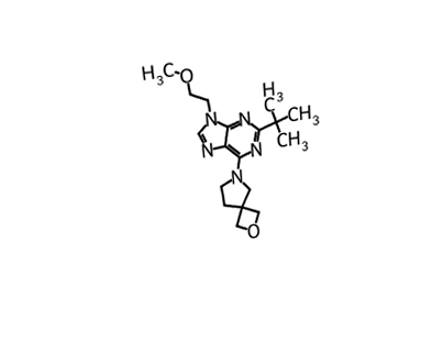 COCCn1cnc2c(N3CCC4(COC4)C3)nc(C(C)(C)C)nc21